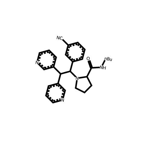 CCCCNC(=O)C1CCCN1C(c1cccc(C#N)c1)C(c1cccnc1)c1cccnc1